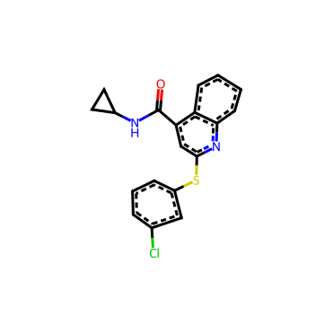 O=C(NC1CC1)c1cc(Sc2cccc(Cl)c2)nc2ccccc12